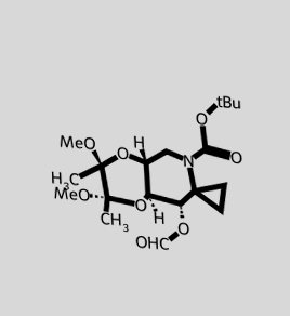 CO[C@@]1(C)O[C@@H]2[C@@H](OC=O)C3(CC3)N(C(=O)OC(C)(C)C)C[C@H]2O[C@]1(C)OC